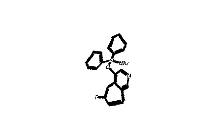 CC(C)(C)[Si](Oc1cncc2ccc(F)cc12)(c1ccccc1)c1ccccc1